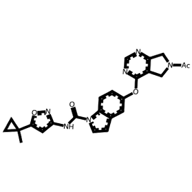 CC(=O)N1Cc2ncnc(Oc3ccc4c(ccn4C(=O)Nc4cc(C5(C)CC5)on4)c3)c2C1